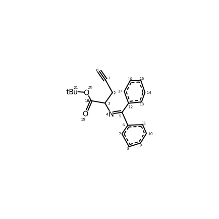 C#CCC(N=C(c1ccccc1)c1ccccc1)C(=O)OC(C)(C)C